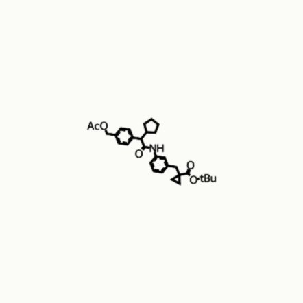 CC(=O)OCc1ccc(C(C(=O)Nc2cccc(CC3(C(=O)OC(C)(C)C)CC3)c2)C2CCCC2)cc1